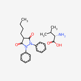 CC(C)[C@H](N)C(=O)O.CCCCC1C(=O)N(c2ccccc2)N(c2ccccc2)C1=O